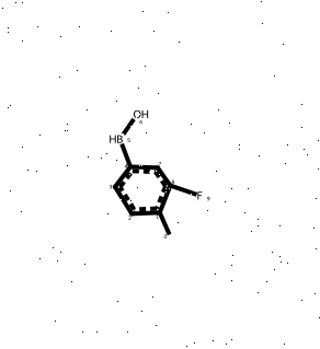 Cc1ccc(BO)cc1F